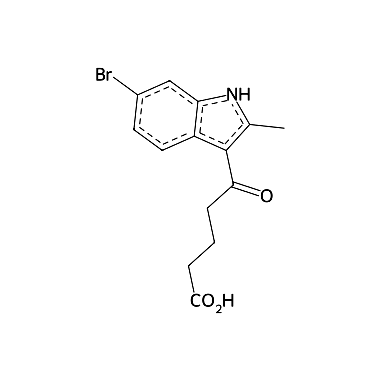 Cc1[nH]c2cc(Br)ccc2c1C(=O)CCCC(=O)O